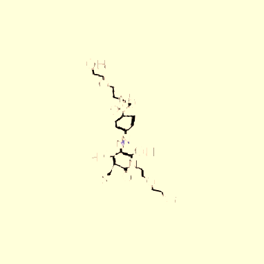 Cc1c(/N=N/c2ccc(S(=O)(=O)NCCOCCO)cc2)c(O)n(CCOCCO)c(=O)c1C#N